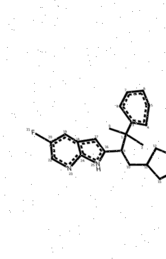 CC(C)(c1ccccc1)C(CC1CCCC1)c1cc2cc(F)cnc2[nH]1